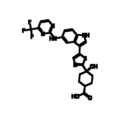 O=C(O)[C@H]1CC[C@](O)(c2ncc(-c3c[nH]c4ccc(Nc5nccc(C(F)(F)F)n5)cc34)s2)CC1